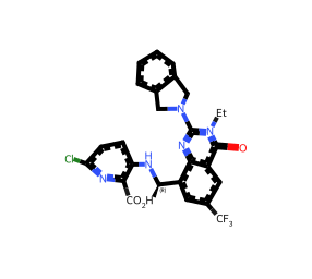 CCn1c(N2Cc3ccccc3C2)nc2c([C@@H](C)Nc3ccc(Cl)nc3C(=O)O)cc(C(F)(F)F)cc2c1=O